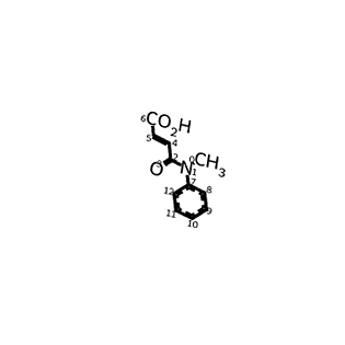 CN(C(=O)/C=C/C(=O)O)c1ccccc1